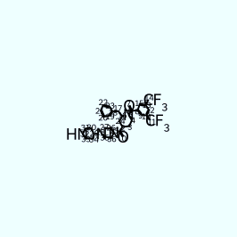 O=C(C1CCN(C(=O)c2cc(C(F)(F)F)cc(C(F)(F)F)c2)C(Cc2ccccc2)C1)N1CCN(C2CCNCC2)CC1